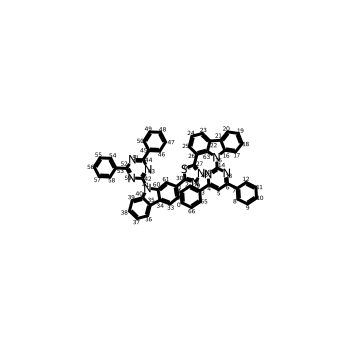 c1ccc(-c2cc(-c3ccccc3)nc(-n3c4ccccc4c4cccc(-c5nnc(-c6ccc7c8ccccc8n(-c8nc(-c9ccccc9)nc(-c9ccccc9)n8)c7c6)s5)c43)n2)cc1